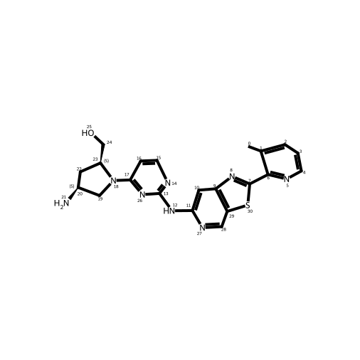 Cc1cccnc1-c1nc2cc(Nc3nccc(N4C[C@@H](N)C[C@H]4CO)n3)ncc2s1